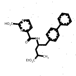 CCOC(=O)C(C)CC(Cc1ccc(-c2ccccc2)cc1)NC(=O)c1ccnc(C(=O)O)n1